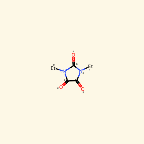 CCN1C(=O)C(=O)N(CC)C1=O